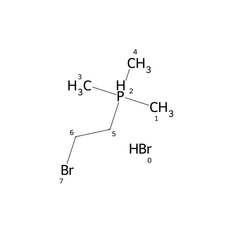 Br.C[PH](C)(C)CCBr